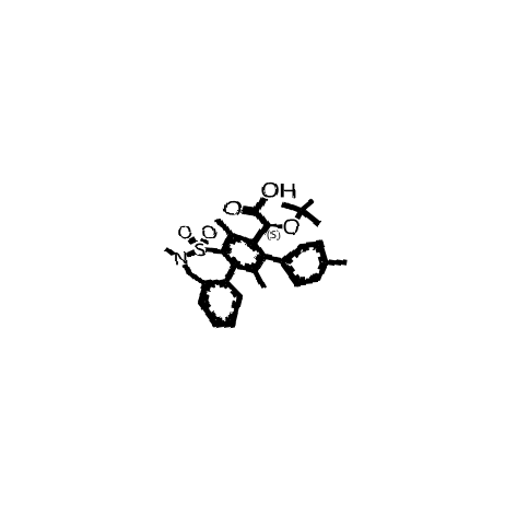 Cc1ccc(-c2c(C)c3c(c(C)c2[C@H](OC(C)(C)C)C(=O)O)S(=O)(=O)N(C)Cc2ccccc2-3)cc1